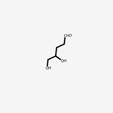 O=[C]CCC(O)CO